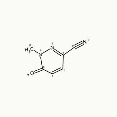 Cn1nc(C#N)ccc1=O